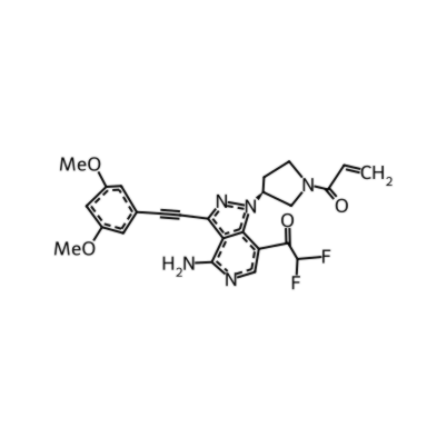 C=CC(=O)N1CC[C@H](n2nc(C#Cc3cc(OC)cc(OC)c3)c3c(N)ncc(C(=O)C(F)F)c32)C1